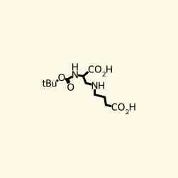 CC(C)(C)OC(=O)NC(CNCCCC(=O)O)C(=O)O